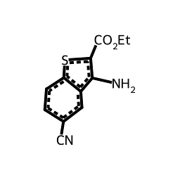 CCOC(=O)c1sc2ccc(C#N)cc2c1N